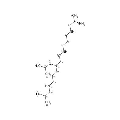 CC(N)CNCCCNOCN(CCCNCC(C)N)OC(C)C